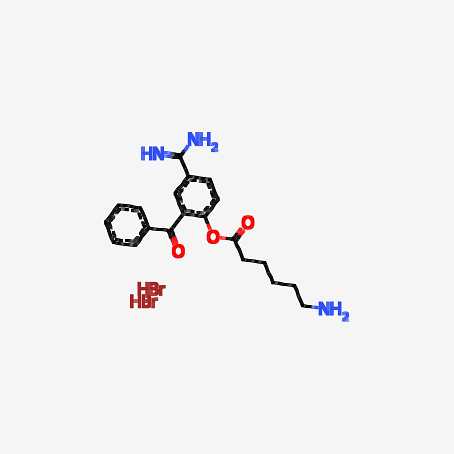 Br.Br.N=C(N)c1ccc(OC(=O)CCCCCN)c(C(=O)c2ccccc2)c1